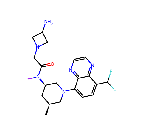 C[C@H]1C[C@@H](N(I)C(=O)CN2CC(N)C2)CN(c2ccc(C(F)F)c3nccnc23)C1